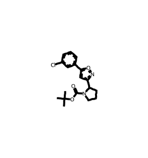 CC(C)(C)OC(=O)N1CCCC1c1cc(-c2cccc(Cl)c2)on1